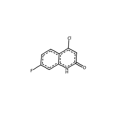 O=c1cc(Cl)c2ccc(F)cc2[nH]1